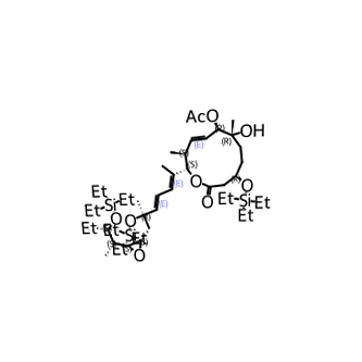 CC[C@H](O[Si](CC)(CC)CC)[C@@H](C)[C@@H]1O[C@H]1C[C@](C)(/C=C/C=C(\C)[C@H]1OC(=O)C[C@H](O[Si](CC)(CC)CC)CC[C@@](C)(O)[C@H](OC(C)=O)/C=C/[C@@H]1C)O[Si](CC)(CC)CC